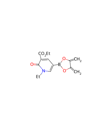 C=C1OB(c2cc(C(=O)OCC)c(=O)n(CC)c2)OC1=C